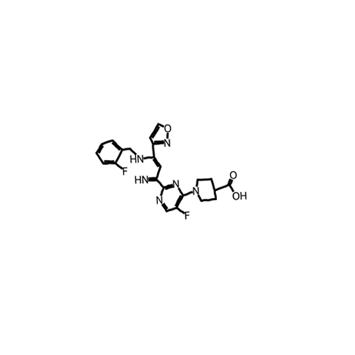 N=C(/C=C(\NCc1ccccc1F)c1ccon1)c1ncc(F)c(N2CCC(C(=O)O)CC2)n1